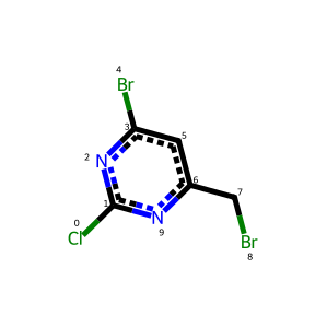 Clc1nc(Br)cc(CBr)n1